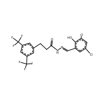 O=C(CCc1cc(C(F)(F)F)cc(C(F)(F)F)c1)N/N=C/c1cc(Cl)cc(Cl)c1O